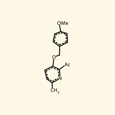 COc1ccc(COc2ccc(C)nc2C(C)=O)cc1